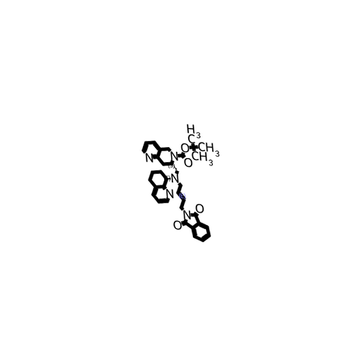 CC(C)(C)OC(=O)N1Cc2cccnc2C[C@H]1CN(C/C=C/CN1C(=O)c2ccccc2C1=O)[C@H]1CCCc2cccnc21